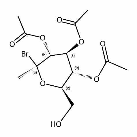 CC(=O)O[C@H]1[C@H](OC(C)=O)[C@@H](CO)O[C@@](C)(Br)[C@@H]1OC(C)=O